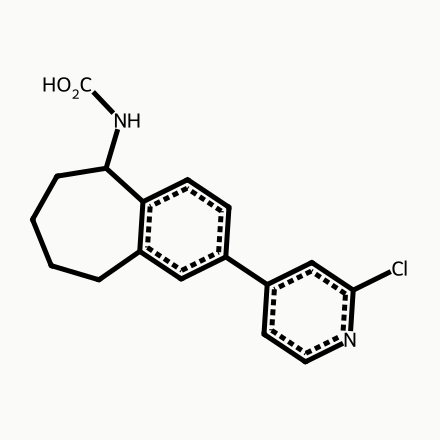 O=C(O)NC1CCCCc2cc(-c3ccnc(Cl)c3)ccc21